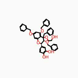 OCCOC1(Cc2ccccc2)c2c(OCc3ccccc3)cc(OCc3ccccc3)cc2O[C@H](c2ccc(O)c(O)c2)[C@@H]1OCc1ccccc1